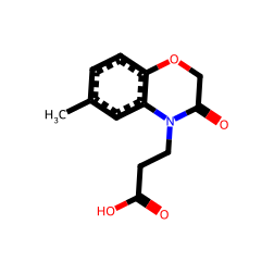 Cc1ccc2c(c1)N(CCC(=O)O)C(=O)CO2